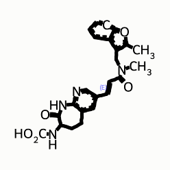 Cc1oc2ccccc2c1CN(C)C(=O)/C=C/c1cnc2c(c1)CCC(NC(=O)O)C(=O)N2